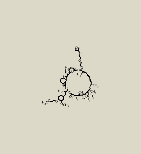 COCCO[C@@H]1CC[C@@H](C[C@@H](C)[C@@H]2CC(=O)[C@H](C)/C=C(\C)[C@@H](OC)[C@@H](OC)C(=O)[C@H](C)C[C@H](C)/C=C/C=C/C=C(\C)C(OCCOCCOC3COC3)C[C@@H]3CC[C@@H](C)[C@@](O)(O3)C(=O)C(=O)N3CCCC[C@H]3C(=O)O2)C[C@H]1OC